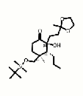 CCC[C@@H]1[C@@](C)(CO[Si](C)(C)C(C)(C)C)CCC(=O)[C@]1(O)CCC1(C)OCCO1